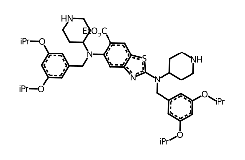 CCOC(=O)c1cc2sc(N(Cc3cc(OC(C)C)cc(OC(C)C)c3)C3CCNCC3)nc2cc1N(Cc1cc(OC(C)C)cc(OC(C)C)c1)C1CCNCC1